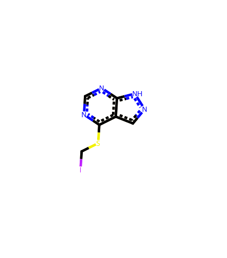 ICSc1ncnc2[nH]ncc12